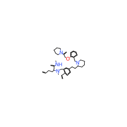 C=CCCC(C(=C)NC)N(C)Cc1cc(CCC2CCCCN2Cc2ccccc2OCC(=C)N2CCCCC2)ccc1C=C